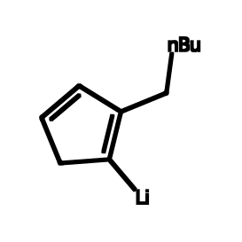 [Li][C]1=C(CCCCC)C=CC1